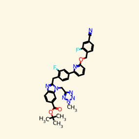 Cn1nnc(Cn2c(Cc3ccc(-c4cccc(OCc5ccc(C#N)cc5F)n4)cc3F)nc3ccc(C(=O)OC(C)(C)C)cc32)n1